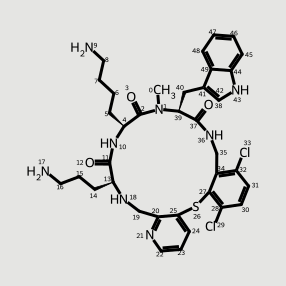 CN1C(=O)[C@H](CCCCN)NC(=O)[C@H](CCCN)NCc2ncccc2Sc2c(Cl)ccc(Cl)c2CNC(=O)[C@@H]1Cc1c[nH]c2ccccc12